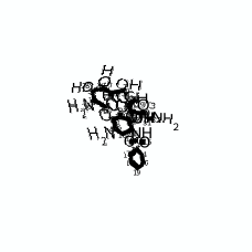 C[C@@H](O)C1O[C@H](O[C@@H]2C(N)C[C@@H](NS(=O)(=O)c3ccccc3)C(O)C2O[C@]2(O)CO[C@H](CN)C2O)C(N)C(O)[C@@H]1O